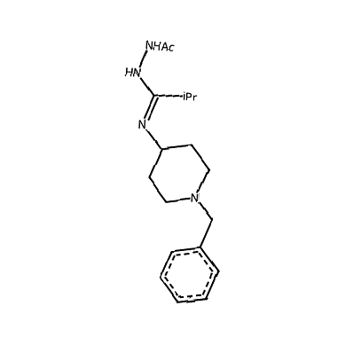 CC(=O)NN/C(=N/C1CCN(Cc2ccccc2)CC1)C(C)C